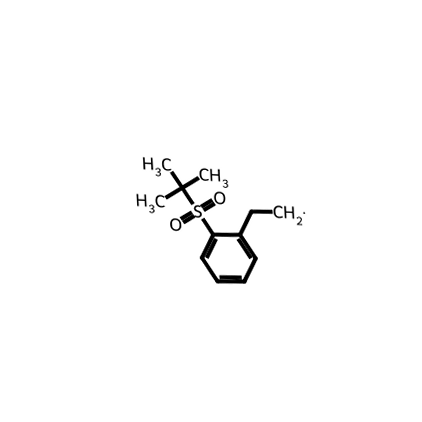 [CH2]Cc1ccccc1S(=O)(=O)C(C)(C)C